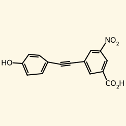 O=C(O)c1cc(C#Cc2ccc(O)cc2)cc([N+](=O)[O-])c1